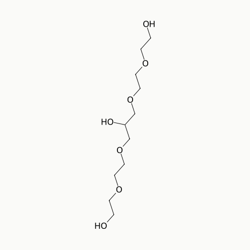 OCCOCCOCC(O)COCCOCCO